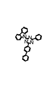 c1ccc(-c2ccc(-c3nc(-c4ccccc4)nc(-n4c5ccccc5c5ccccc54)n3)cc2)cc1